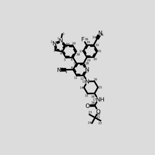 Cn1ncc2cc(-c3c(C#N)cc(N4CCC(NC(=O)OC(C)(C)C)CC4)nc3-c3ccc(C#N)c(F)c3)ccc21